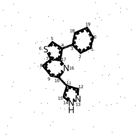 c1ccc(-c2csc3ccc(-c4cn[nH]c4)nc23)cc1